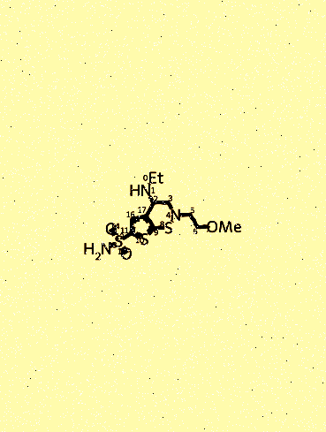 CCNC1CN(CCOC)Sc2sc(S(N)(=O)=O)cc21